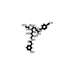 C#Cc1ccc(CO[C@]2(C(=O)O)C[C@H](O)[C@@H](NC(=O)CO)[C@H]([C@H](O)[C@H](O)CNC(=O)Cc3cccc(O)c3)O2)cc1